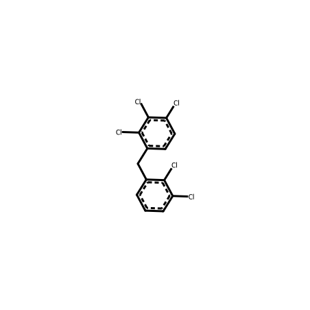 Clc1cccc(Cc2ccc(Cl)c(Cl)c2Cl)c1Cl